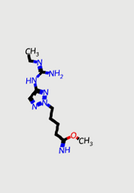 CC/N=C(/N)Nc1cnn(CCCCC(=N)OC)n1